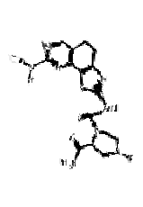 CCN(CC)c1ncc2c(n1)-c1sc(NC(=O)N3C[C@@H](F)C[C@H]3C(N)=O)nc1CC2